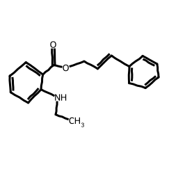 CCNc1ccccc1C(=O)OCC=Cc1ccccc1